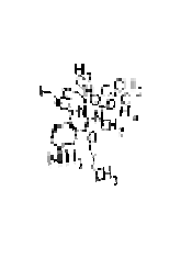 CCCCOc1c(N(C)C(=O)OC(C)(C)C)n(CC(C)C)c(=O)c2ccc(N)cc12